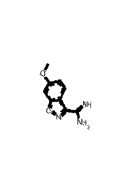 COc1ccc2c(C(=N)N)noc2c1